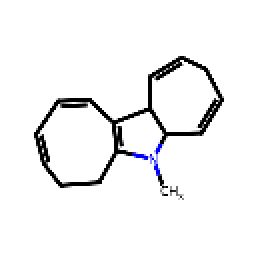 CN1C2=C(/C=C\C=C/CC2)C2C=CCC=CC21